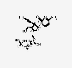 CC#CC1(O)C(CO)[C@@H](COP(=O)(O)OP(=O)(O)OP(=O)(O)O)O[C@H]1n1ccc(N)nc1=O